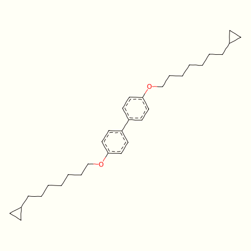 c1cc(-c2ccc(OCCCCCCCC3CC3)cc2)ccc1OCCCCCCCC1CC1